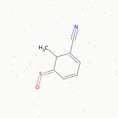 CC1C(C#N)=CC=CC1=S=O